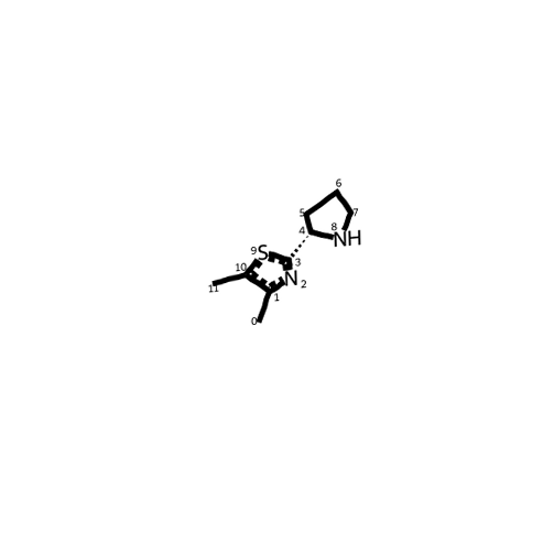 Cc1nc([C@@H]2CCCN2)sc1C